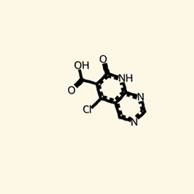 O=C(O)c1c(Cl)c2cncnc2[nH]c1=O